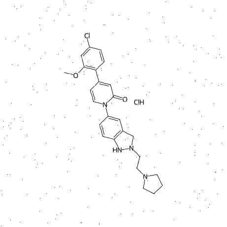 COc1cc(Cl)ccc1-c1ccn(-c2ccc3c(c2)CN(CCN2CCCC2)N3)c(=O)c1.Cl